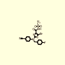 CS(=O)(=O)NC(=O)c1nc(N(Cc2ccc(F)cc2)c2ccc(C#N)cc2)sc1Br